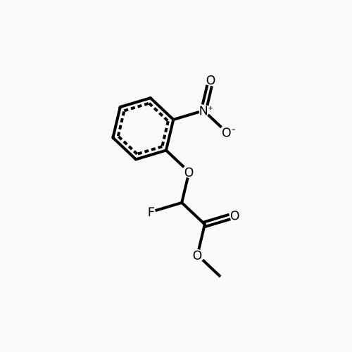 COC(=O)C(F)Oc1ccccc1[N+](=O)[O-]